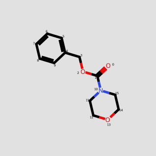 O=C(OCc1ccccc1)N1CCOCC1